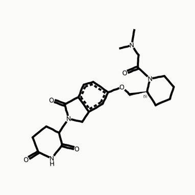 CN(C)CC(=O)N1CCCC[C@H]1COc1ccc2c(c1)CN(C1CCC(=O)NC1=O)C2=O